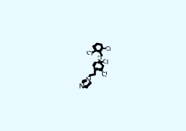 ClC1=C(CCn2ccnc2)C=CC(Cl)(OCc2c(Cl)cccc2Cl)C1